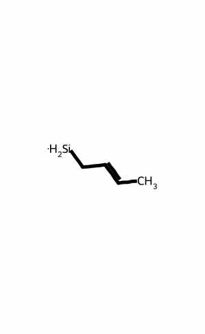 CC=CC[SiH2]